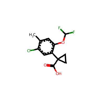 Cc1cc(OC(F)F)c(C2(C(=O)O)CC2)cc1Cl